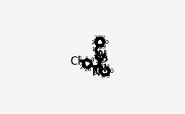 Clc1ccc(-c2nc3ccccn3c2-c2cc(Cc3ccccc3)no2)cc1